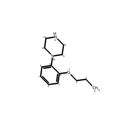 CCCOc1ccccc1N1CCNCC1